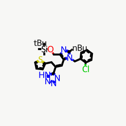 CCCCc1nc(CO[Si](C)(C)C(C)(C)C)c(/C=C(\Cc2cccs2)c2nnn[nH]2)n1Cc1ccccc1Cl